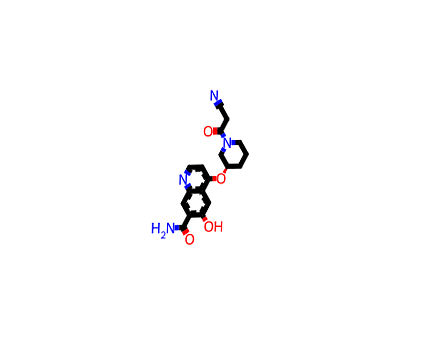 N#CCC(=O)N1CCC[C@@H](Oc2ccnc3cc(C(N)=O)c(O)cc23)C1